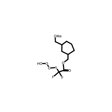 COCC1CCCC(COC(=O)C(F)(F)SOOO)C1